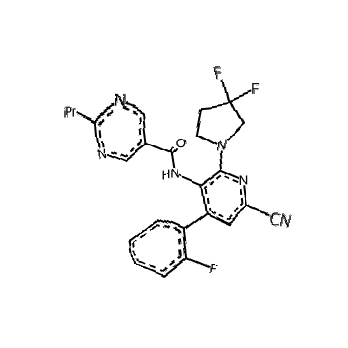 CC(C)c1ncc(C(=O)Nc2c(-c3ccccc3F)cc(C#N)nc2N2CCC(F)(F)C2)cn1